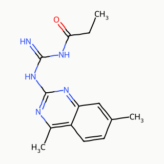 CCC(=O)NC(=N)Nc1nc(C)c2ccc(C)cc2n1